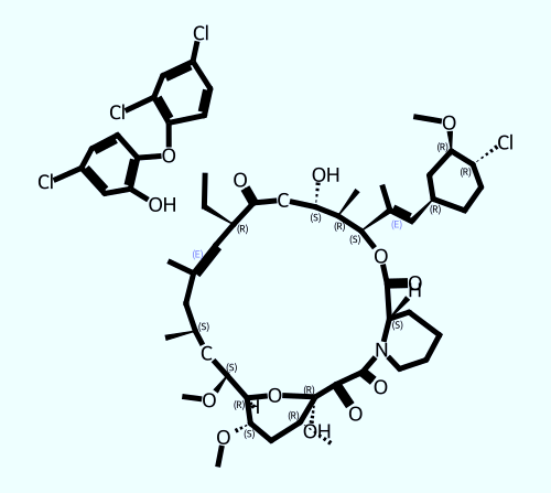 CC[C@@H]1/C=C(\C)C[C@H](C)C[C@H](OC)[C@H]2O[C@@](O)(C(=O)C(=O)N3CCCC[C@H]3C(=O)O[C@H](/C(C)=C/[C@@H]3CC[C@@H](Cl)[C@H](OC)C3)[C@H](C)[C@@H](O)CC1=O)[C@H](C)C[C@@H]2OC.Oc1cc(Cl)ccc1Oc1ccc(Cl)cc1Cl